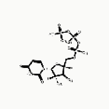 C[C@@]1(F)C(O)[C@@](F)(COP(=O)(O)OP(=O)(O)OP(=O)(O)O)O[C@H]1n1ccc(=S)[nH]c1=O